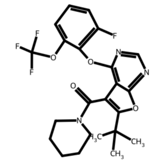 CC(C)(C)c1oc2ncnc(Oc3c(F)cccc3OC(F)(F)F)c2c1C(=O)N1CCCCC1